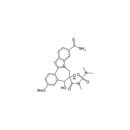 COc1ccc2c(c1)C(O)C(O)(C(=O)N(C)S(=O)(=O)N(C)C)Cn1c-2cc2ccc(C(N)=O)cc21